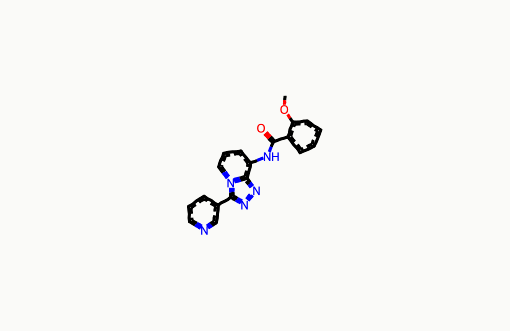 COc1ccccc1C(=O)Nc1cccn2c(-c3cccnc3)nnc12